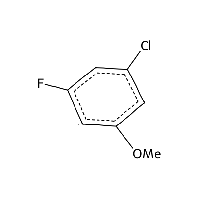 COc1[c]c(F)cc(Cl)c1